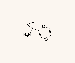 NC1(C2=COC=CO2)CC1